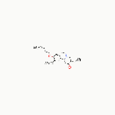 COCCCOc1cc2c(cc1OC)C1CC(=O)C(CC(C)C)CN1CC2